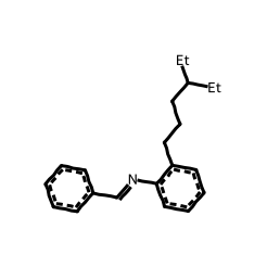 CCC(CC)CCCc1ccccc1N=Cc1ccccc1